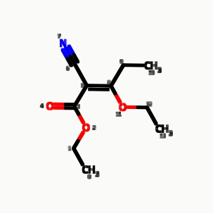 CCOC(=O)C(C#N)=C(CC)OCC